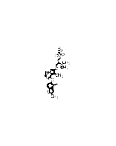 Cc1c(OCC(CCS(C)(=O)=O)N(C)C)cn2ncnc(Oc3ccc4c(c3F)=CC(C)N=4)c12